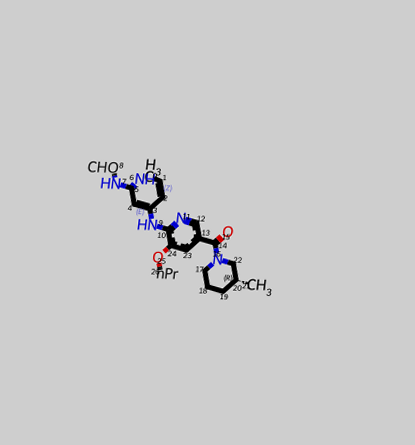 C/C=C\C(=C/C(=N)NC=O)Nc1ncc(C(=O)N2CCC[C@@H](C)C2)cc1OCCC